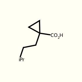 CC(C)CCC1(C(=O)O)CC1